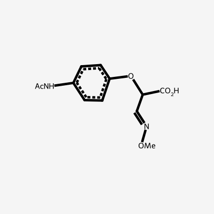 CON=CC(Oc1ccc(NC(C)=O)cc1)C(=O)O